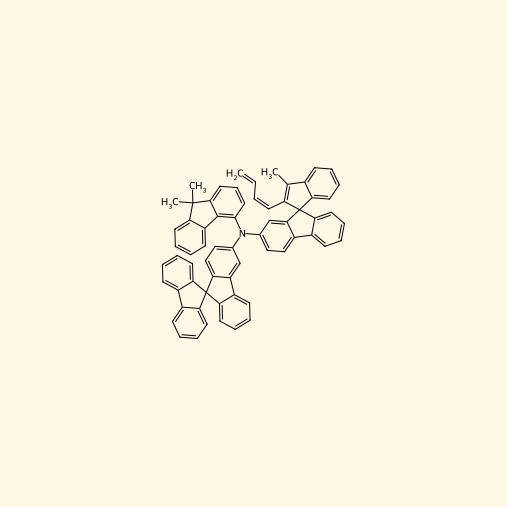 C=C/C=C\C1=C(C)c2ccccc2C12c1ccccc1-c1ccc(N(c3ccc4c(c3)-c3ccccc3C43c4ccccc4-c4ccccc43)c3cccc4c3-c3ccccc3C4(C)C)cc12